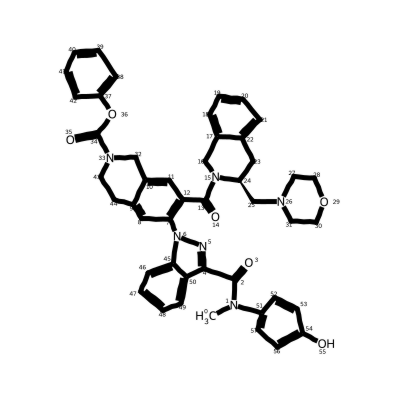 CN(C(=O)c1nn(-c2cc3c(cc2C(=O)N2Cc4ccccc4C[C@H]2CN2CCOCC2)CN(C(=O)Oc2ccccc2)CC3)c2ccccc12)c1ccc(O)cc1